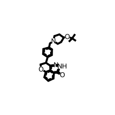 CC(C)(C)OC1CCN(Cc2ccc(C3COc4cccc5c(=O)[nH]nc3c45)cc2)CC1